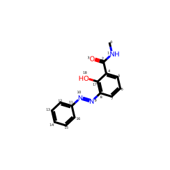 CNC(=O)c1cccc(N=Nc2ccccc2)c1O